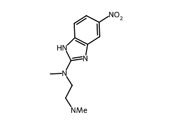 CNCCN(C)c1nc2cc([N+](=O)[O-])ccc2[nH]1